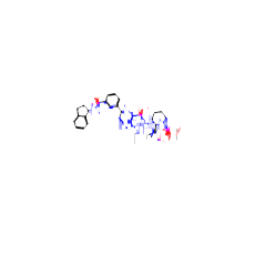 CC(C)(C)C1[C@@H](NC(=O)c2nc(-c3cccc(C(=O)N[C@H]4CCc5ccccc54)c3)cnc2N)CCCN1C(=O)O